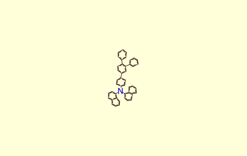 c1ccc(-c2ccc(-c3ccc(N(c4cccc5ccccc45)c4cccc5ccccc45)cc3)cc2-c2ccccc2)cc1